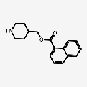 O=C(OCC1CCNCC1)c1cccc2ccccc12